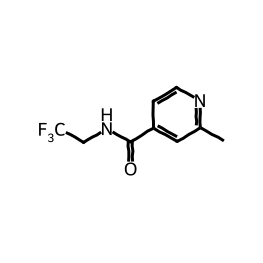 Cc1cc(C(=O)NCC(F)(F)F)ccn1